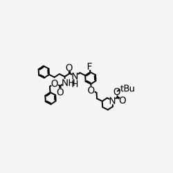 CC(C)(C)OC(=O)N1CCCC(CCOc2ccc(F)c(CNC(=O)C(CCc3ccccc3)NC(=O)OCc3ccccc3)c2)C1